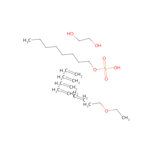 C=C.C=C.C=C.C=C.C=C.CCCCCCCCOS(=O)(=O)O.CCOCC.OCCO